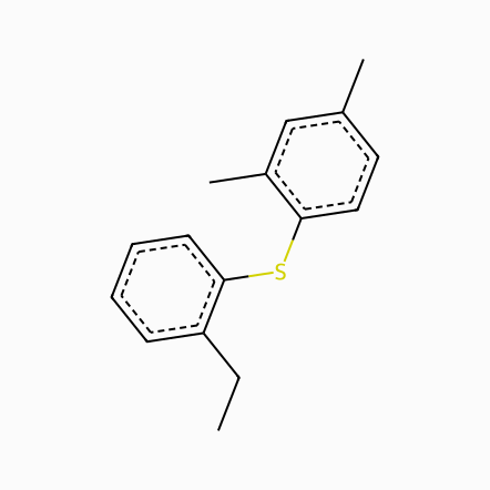 CCc1ccccc1Sc1ccc(C)cc1C